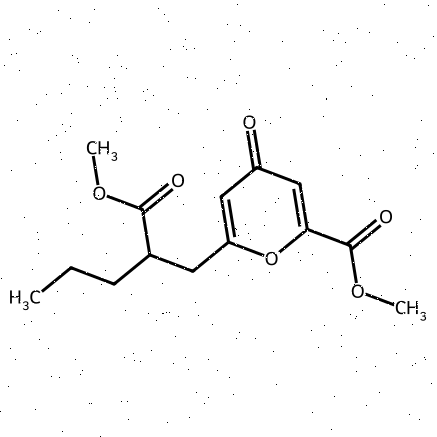 CCCC(Cc1cc(=O)cc(C(=O)OC)o1)C(=O)OC